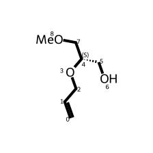 C=CCO[C@@H](CO)COC